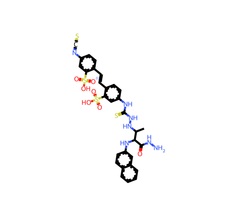 CC(NNC(=S)Nc1ccc(/C=C/c2ccc(N=C=S)cc2S(=O)(=O)O)c(S(=O)(=O)O)c1)C(Nc1ccc2ccccc2c1)C(=O)NN